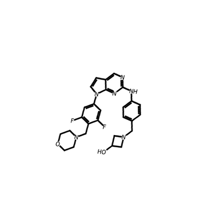 OC1CN(Cc2ccc(Nc3ncc4ccn(-c5cc(F)c(CN6CCOCC6)c(F)c5)c4n3)cc2)C1